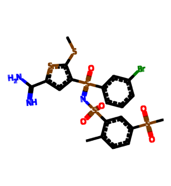 CSc1sc(C(=N)N)cc1S(=O)(=NS(=O)(=O)c1cc(S(C)(=O)=O)ccc1C)c1cccc(Br)c1